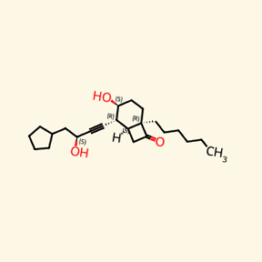 CCCCCC[C@@]12CC[C@H](O)[C@@H](C#C[C@@H](O)CC3CCCC3)[C@@H]1CC2=O